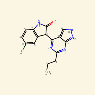 CCCc1nc(C2C(=O)Nc3ccc(F)cc32)c2c[nH]nc2n1